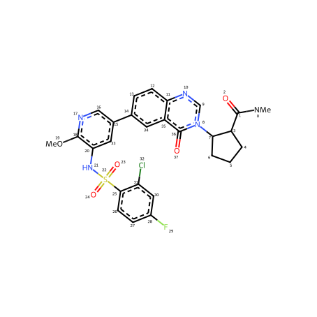 CNC(=O)C1CCCC1n1cnc2ccc(-c3cnc(OC)c(NS(=O)(=O)c4ccc(F)cc4Cl)c3)cc2c1=O